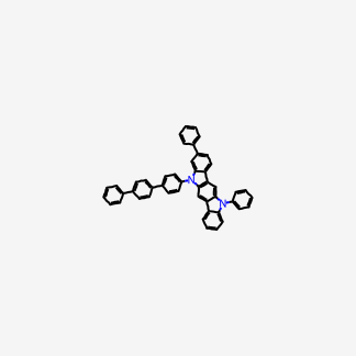 c1ccc(-c2ccc(-c3ccc(-n4c5cc(-c6ccccc6)ccc5c5cc6c(cc54)c4ccccc4n6-c4ccccc4)cc3)cc2)cc1